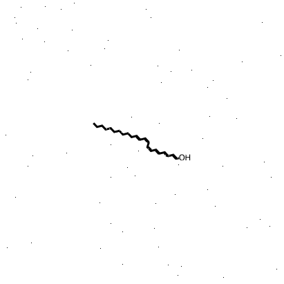 CCCCCCCCCC/C=C/C=C\C=C/C=C/C=C/C=C/O